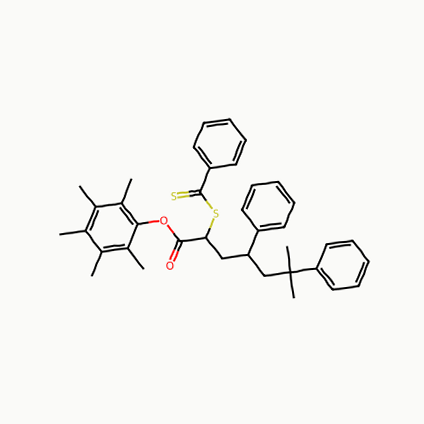 Cc1c(C)c(C)c(OC(=O)C(CC(CC(C)(C)c2ccccc2)c2ccccc2)SC(=S)c2ccccc2)c(C)c1C